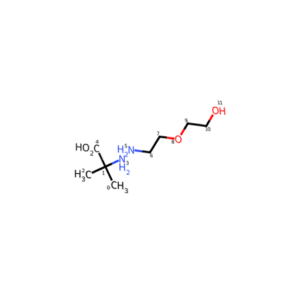 CC(C)(N)C(=O)O.NCCOCCO